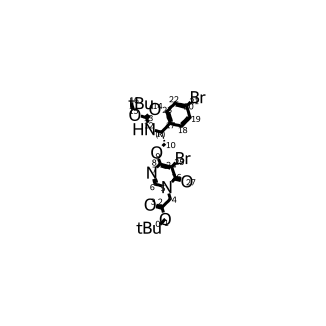 CC(C)(C)OC(=O)Cn1cnc(OC[C@H](NC(=O)OC(C)(C)C)c2ccc(Br)cc2)c(Br)c1=O